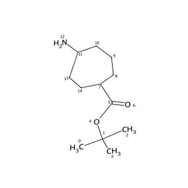 CC(C)(C)OC(=O)C1CCCC(N)CC1